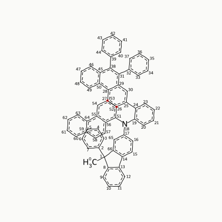 CC1(c2ccccc2)c2ccccc2-c2ccc(N(c3ccccc3-c3ccc4c(c3)c(-c3ccccc3)c(-c3ccccc3)c3ccccc34)c3cccc4c3ccc3ccccc34)cc21